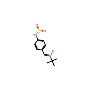 CC(C)(C)/[N+]([O-])=C/c1ccc(N[SH](=O)=O)cc1